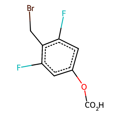 O=C(O)Oc1cc(F)c(CBr)c(F)c1